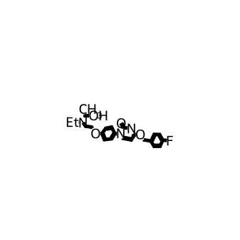 CCN(CCOc1ccc(-n2ccc(OCc3ccc(F)cc3)nc2=O)cc1)C(C)O